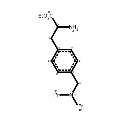 CCOC(=O)C(N)Cc1ccc(CN(C(C)C)C(C)C)cc1